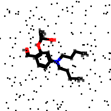 C=[Si](O)Oc1cc(N(CCCC)CCCC)ccc1C=O